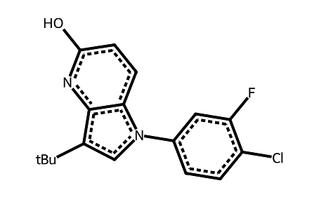 CC(C)(C)c1cn(-c2ccc(Cl)c(F)c2)c2ccc(O)nc12